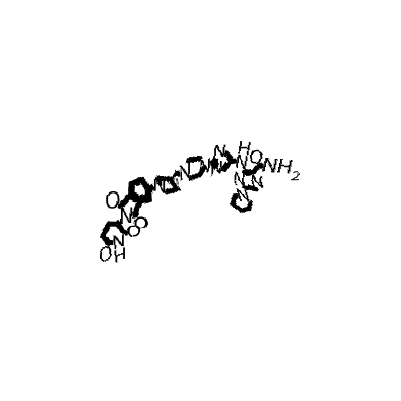 NC(=O)c1ncc(N2CCCCC2)nc1Nc1cnc(N2CCN(C[C@H]3CCN(c4ccc5c(c4)C(=O)N(C4CCC(=O)NC4=O)C5=O)C3)CC2)nc1